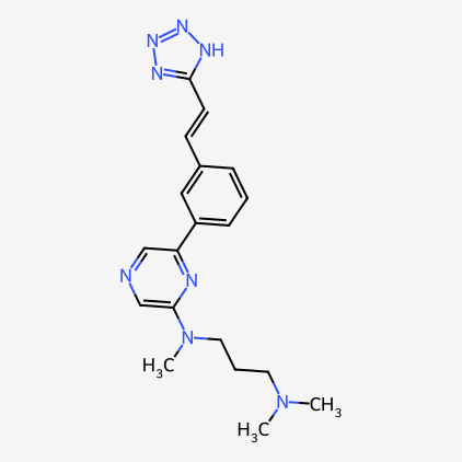 CN(C)CCCN(C)c1cncc(-c2cccc(/C=C/c3nnn[nH]3)c2)n1